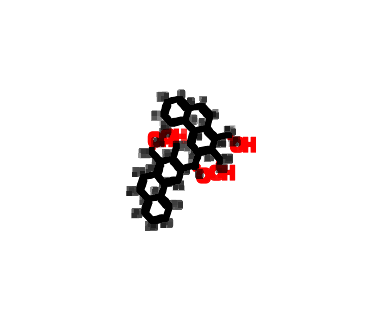 O=C(c1cc2c(ccc3ccccc32)c(CO)c1CO)c1cc2c(ccc3ccccc32)c(CO)c1CO